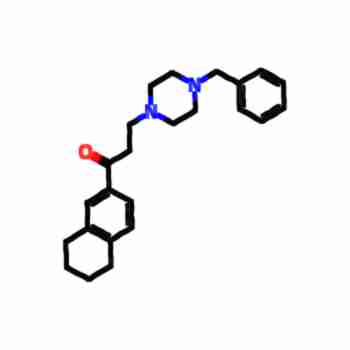 O=C(CCN1CCN(Cc2ccccc2)CC1)c1ccc2c(c1)CCCC2